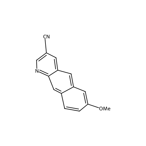 COc1ccc2cc3ncc(C#N)cc3cc2c1